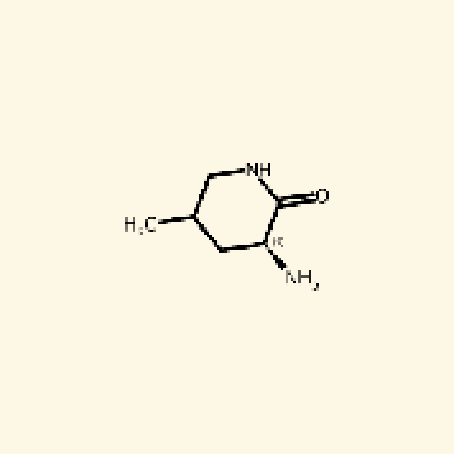 CC1CNC(=O)[C@@H](N)C1